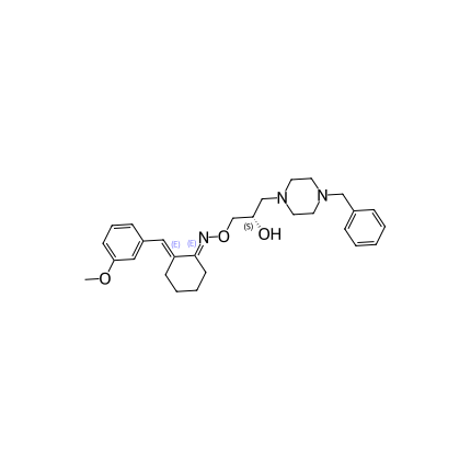 COc1cccc(/C=C2\CCCC\C2=N/OC[C@@H](O)CN2CCN(Cc3ccccc3)CC2)c1